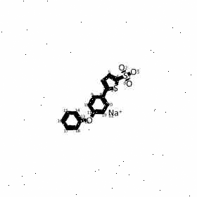 O=S(=O)([O-])c1ccc(-c2ccc(Oc3ccccc3)cc2)s1.[Na+]